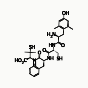 Cc1cc(O)cc(C)c1C[C@H](N)C(=O)N[C@H](CS)C(=O)N[C@@H](Cc1ccccc1)C(=O)N[C@@H](C(=O)O)C(C)(C)S